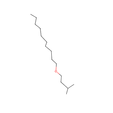 CCCCCCCCCCOCCC(C)C